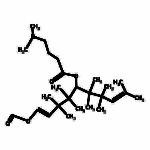 CC(C)=CC(C)(C)C(C)(C)C(OC(=O)CCCN(C)C)C(C)(C)C(C)(C)C=COC=O